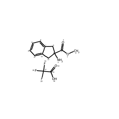 COC(=O)C1(N)Cc2ccccc2C1.O=C(O)C(F)(F)F